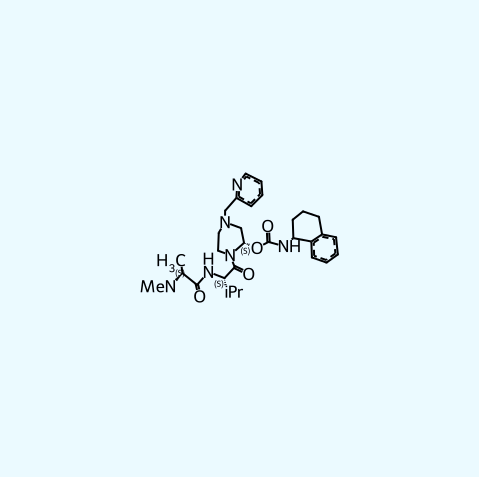 CN[C@@H](C)C(=O)N[C@H](C(=O)N1CCN(Cc2ccccn2)C[C@@H]1OC(=O)NC1CCCc2ccccc21)C(C)C